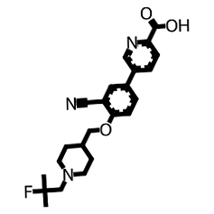 CC(C)(F)CN1CCC(COc2ccc(-c3ccc(C(=O)O)nc3)cc2C#N)CC1